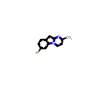 ClC(Cl)(Cl)c1ccn2c(cc3ccc(Br)cc32)n1